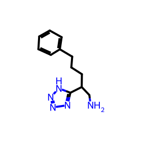 NCC(CCCc1ccccc1)c1nnn[nH]1